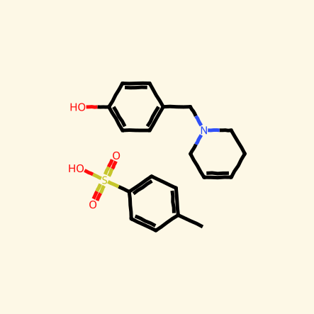 Cc1ccc(S(=O)(=O)O)cc1.Oc1ccc(CN2CC=CCC2)cc1